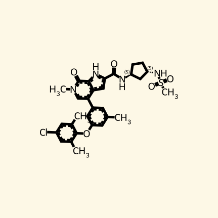 Cc1cc(Oc2c(C)cc(Cl)cc2C)cc(-c2cn(C)c(=O)c3[nH]c(C(=O)N[C@H]4CC[C@H](NS(C)(=O)=O)C4)cc23)c1